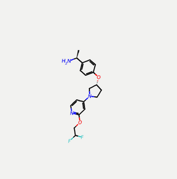 C[C@H](N)c1ccc(O[C@@H]2CCN(c3ccnc(OCC(F)F)c3)C2)cc1